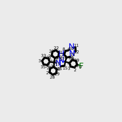 Fc1ccc(C2(c3ccc4nccn4c3)C=CN(C(c3ccccc3)(c3ccccc3)c3ccccc3)N2)cc1